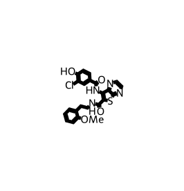 COc1ccccc1CCNC(=O)c1sc2nccnc2c1NC(=O)c1ccc(O)c(Cl)c1